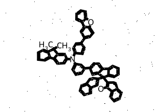 CC1(C)c2ccccc2-c2ccc(N(c3ccc(-c4ccc5oc6ccccc6c5c4)cc3)c3cccc(-c4ccc5c(c4)C4(c6ccccc6-5)c5ccc6ccccc6c5Oc5c4ccc4ccccc54)c3)cc21